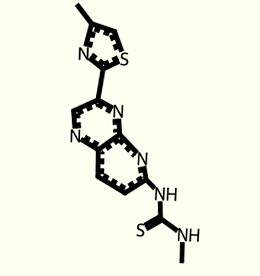 CNC(=S)Nc1ccc2ncc(-c3nc(C)cs3)nc2n1